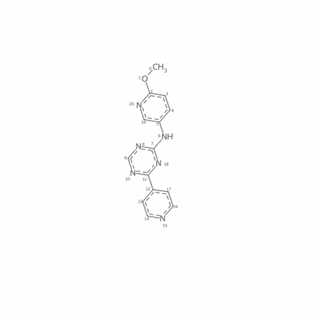 COc1ccc(Nc2ncnc(-c3ccncc3)n2)cn1